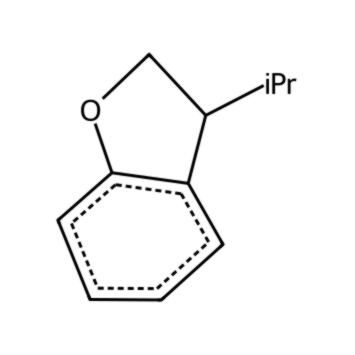 CC(C)C1COc2ccccc21